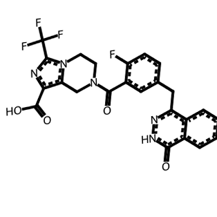 O=C(O)c1nc(C(F)(F)F)n2c1CN(C(=O)c1cc(Cc3n[nH]c(=O)c4ccccc34)ccc1F)CC2